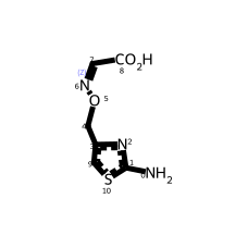 Nc1nc(CO/N=C\C(=O)O)cs1